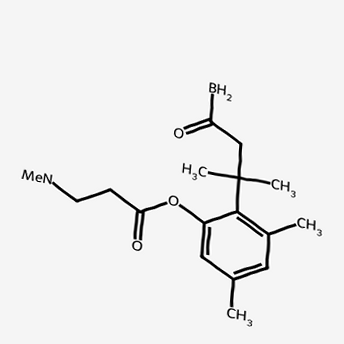 BC(=O)CC(C)(C)c1c(C)cc(C)cc1OC(=O)CCNC